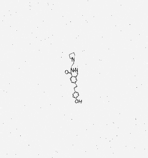 O=c1c2ccc(C=Cc3ccc(O)cc3)cc2cnn1CCN1CCCC1